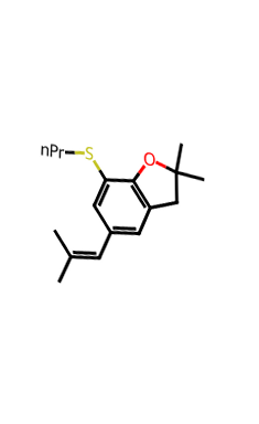 CCCSc1cc(C=C(C)C)cc2c1OC(C)(C)C2